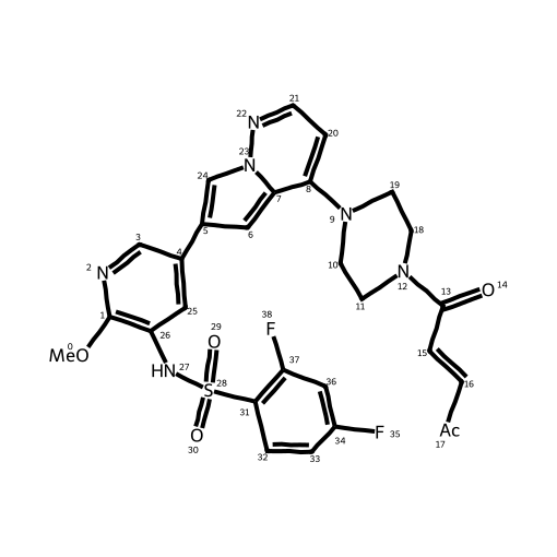 COc1ncc(-c2cc3c(N4CCN(C(=O)/C=C/C(C)=O)CC4)ccnn3c2)cc1NS(=O)(=O)c1ccc(F)cc1F